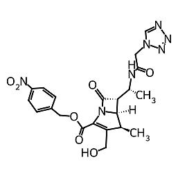 C[C@@H](NC(=O)Cn1cnnn1)[C@H]1C(=O)N2C(C(=O)OCc3ccc([N+](=O)[O-])cc3)=C(CO)[C@H](C)[C@H]12